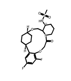 CS(=O)(=O)N[C@H]1CCCN2C(=O)COc3c(F)cc(F)cc3[C@H]3CC[C@H](CC3)OCC12